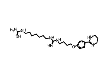 N=C(N)NCCCCCCCNC(=N)NCCCCOc1ccc(C2=NCCCN2)cc1